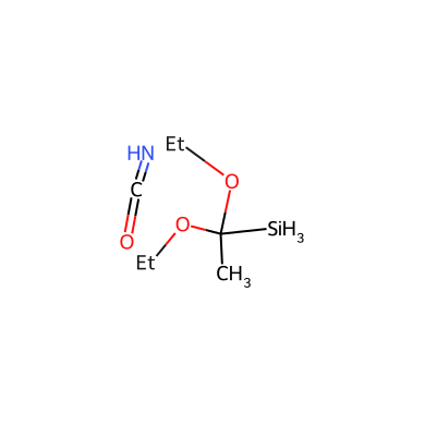 CCOC(C)([SiH3])OCC.N=C=O